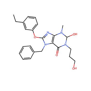 CCc1cccc(Oc2nc3c(n2Cc2ccccc2)C(=O)N(CCCO)C(O)N3C)c1